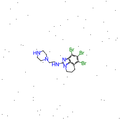 Brc1c(Br)c2c3c(nc(NCCN4CCNCC4)n3CCC2)c1Br